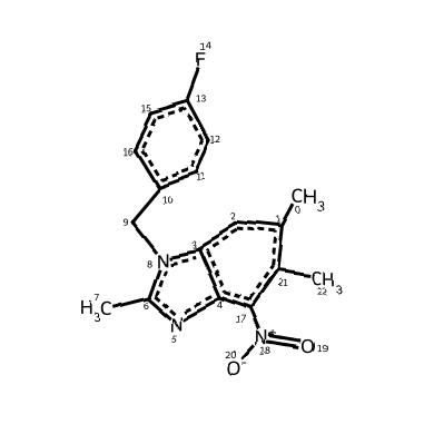 Cc1cc2c(nc(C)n2Cc2ccc(F)cc2)c([N+](=O)[O-])c1C